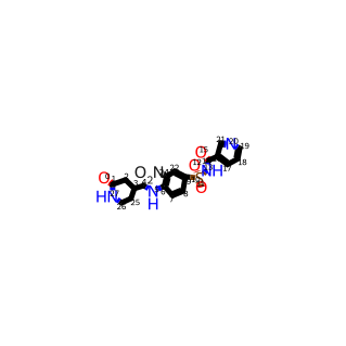 O=C1CC(CNc2ccc(S(=O)(=O)NC(=O)c3cccnc3)cc2[N+](=O)[O-])CCN1